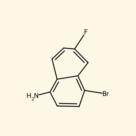 Nc1ccc(Br)c2cc(F)ccc12